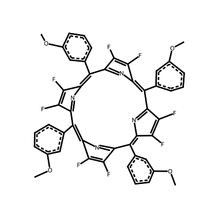 COc1cccc(C2=C3N=C(C(F)=C3F)C(c3cccc(OC)c3)=C3N=C(C(F)=C3F)C(c3cccc(OC)c3)=C3N=C(C(F)=C3F)C(c3cccc(OC)c3)=C3N=C2C(F)=C3F)c1